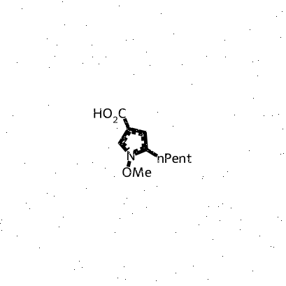 CCCCCc1cc(C(=O)O)cn1OC